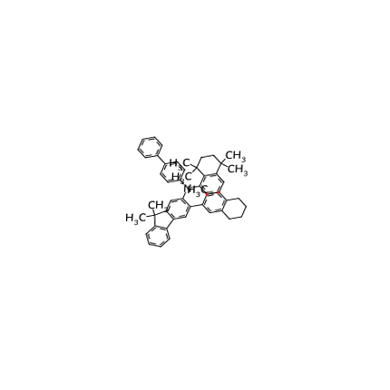 Cc1cc2c(cc1-c1cc3c(cc1N(c1ccc(-c4ccccc4)cc1)c1cccc4c1C(C)(C)CCC4(C)C)C(C)(C)c1ccccc1-3)CCCC2